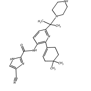 CC1(C)CC=C(c2nc(C(C)(C)N3CCNCC3)ccc2NC(=O)c2nc(C#N)c[nH]2)CC1